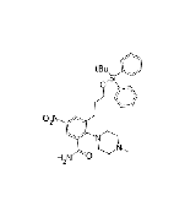 CN1CCN(c2c(CCCO[Si](c3ccccc3)(c3ccccc3)C(C)(C)C)cc([N+](=O)[O-])cc2C(N)=O)CC1